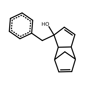 OC1(Cc2ccccc2)C=CC2C3C=CC(C3)C21